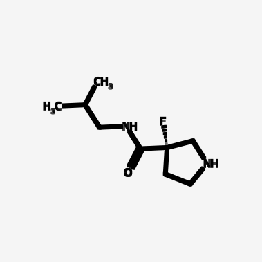 CC(C)CNC(=O)[C@]1(F)CCNC1